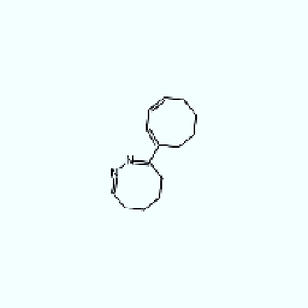 C1=CCCCCC(C2=NN=CCCCC2)=C1